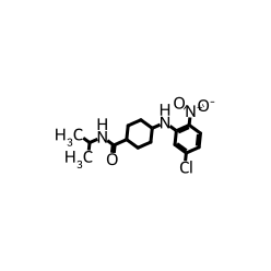 CC(C)NC(=O)C1CCC(Nc2cc(Cl)ccc2[N+](=O)[O-])CC1